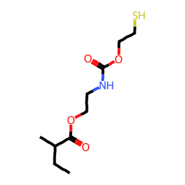 CCC(C)C(=O)OCCNC(=O)OCCS